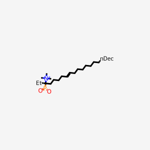 CCCCCCCCCCCCCCCCCC=CCCCCC(CC)(P(=O)=O)[N+](C)(C)C